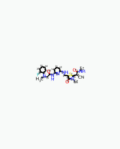 CCNC(=O)C(C#N)=c1sc(=CNc2cccc(NC(=O)CN(C)c3ccccc3F)n2)c(=O)n1CC